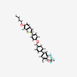 CCCCOc1ccc2cc(-c3ccc(OCc4ccc(-c5cc(C)c(OC(F)(F)F)c(F)c5)cc4)cc3)sc2c1